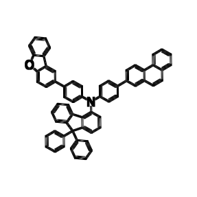 c1ccc(C2(c3ccccc3)c3ccccc3-c3c(N(c4ccc(-c5ccc6c(ccc7ccccc76)c5)cc4)c4ccc(-c5ccc6oc7ccccc7c6c5)cc4)cccc32)cc1